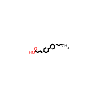 CCCC[C@H]1CC[C@H]([C@H]2CC[C@H](C=CCC(=O)O)CC2)CC1